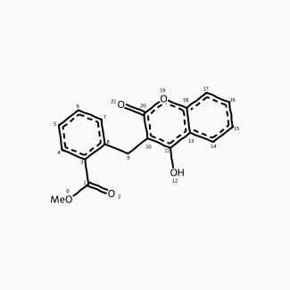 COC(=O)c1ccccc1Cc1c(O)c2ccccc2oc1=O